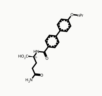 CCCOc1ccc(-c2ccc(C(=O)N[C@@H](CCC(N)=O)C(=O)O)cc2)cc1